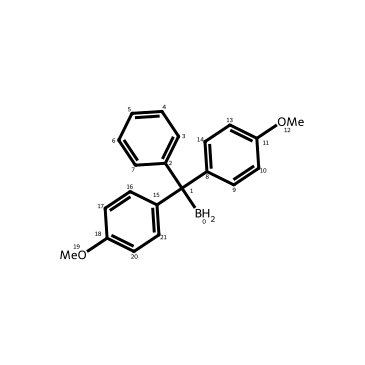 BC(c1ccccc1)(c1ccc(OC)cc1)c1ccc(OC)cc1